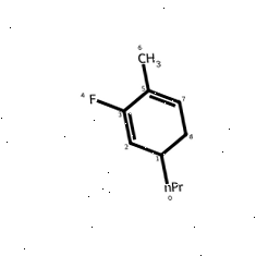 CCCC1C=C(F)C(C)=CC1